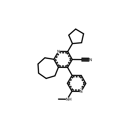 CNc1cc(-c2c(C#N)c(C3CCCC3)nc3c2CCCCC3)ccn1